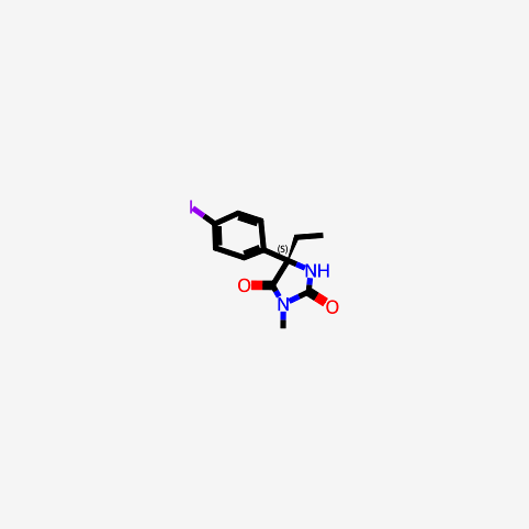 CC[C@@]1(c2ccc(I)cc2)NC(=O)N(C)C1=O